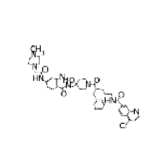 CN1CCN(CC(=O)Nc2ccc3c(=O)n(CC4(O)CCN(C(=O)C(CCCNC(=O)c5ccc6c(Cl)ccnc6c5)Cc5ccccc5)CC4)cnc3c2)CC1